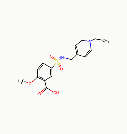 CCN1C=CC(CNS(=O)(=O)c2ccc(OC)c(C(=O)O)c2)=CC1